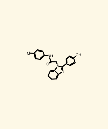 O=C(Cn1c(-c2ccc(O)cc2)nc2c1=CCCC=2)Nc1ccc(Cl)cc1